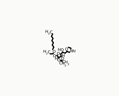 CCCCCCCCCOC(CC)O[C@H]1O[C@H]([C@H](O)CC2CNCCO2)[C@@H]2OC(C)(C)O[C@H]12